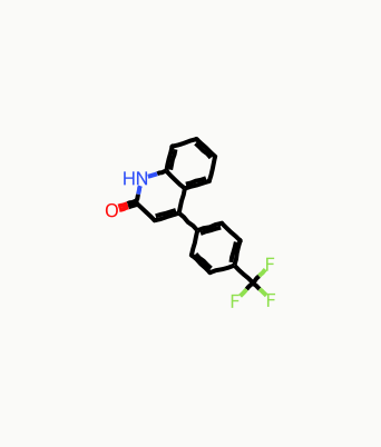 O=c1cc(-c2ccc(C(F)(F)F)cc2)c2ccccc2[nH]1